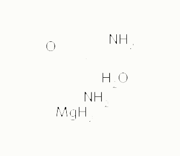 NC(N)=O.O.[MgH2]